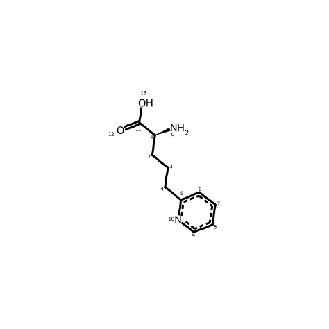 N[C@@H](CCCc1ccccn1)C(=O)O